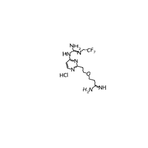 Cl.N=C(N)CCOCCc1nccc(NC(N)=NCC(F)(F)F)n1